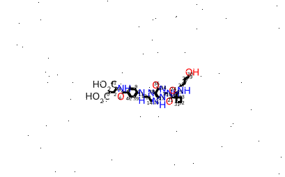 O=C(O)CC[C@@H](NC(=O)c1ccc(NCc2cnc3[nH]c(NC(=O)C4(C(=O)NCCCCO)CCC4)nc(=O)c3n2)cc1)C(=O)O